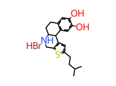 Br.CC(C)CCc1cc2c(s1)CNC1CCc3cc(O)c(O)cc3C21